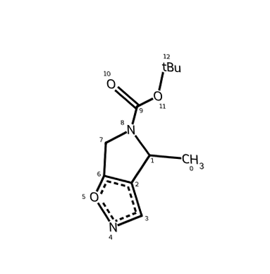 CC1c2cnoc2CN1C(=O)OC(C)(C)C